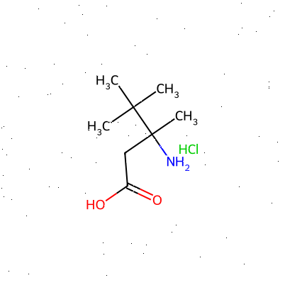 CC(C)(C)C(C)(N)CC(=O)O.Cl